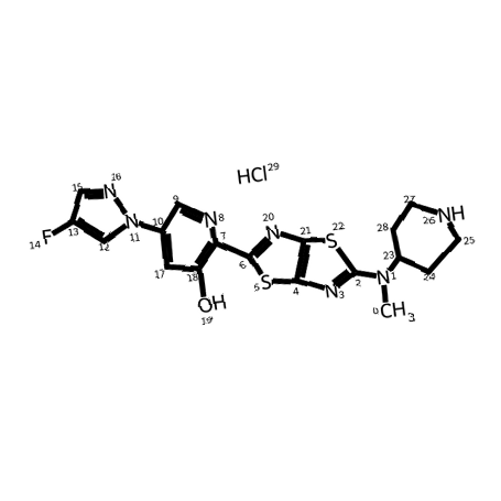 CN(c1nc2sc(-c3ncc(-n4cc(F)cn4)cc3O)nc2s1)C1CCNCC1.Cl